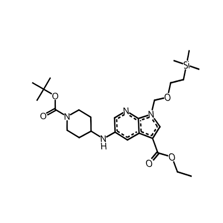 CCOC(=O)c1cn(COCC[Si](C)(C)C)c2ncc(NC3CCN(C(=O)OC(C)(C)C)CC3)cc12